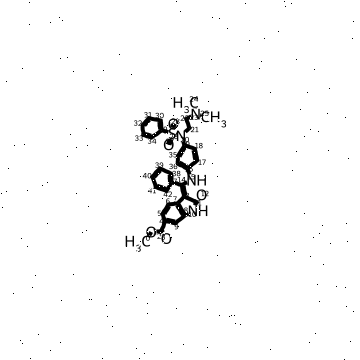 COC(=O)c1ccc2c(c1)NC(=O)/C2=C(\Nc1ccc(N(CCN(C)C)S(=O)(=O)c2ccccc2)cc1)c1ccccc1